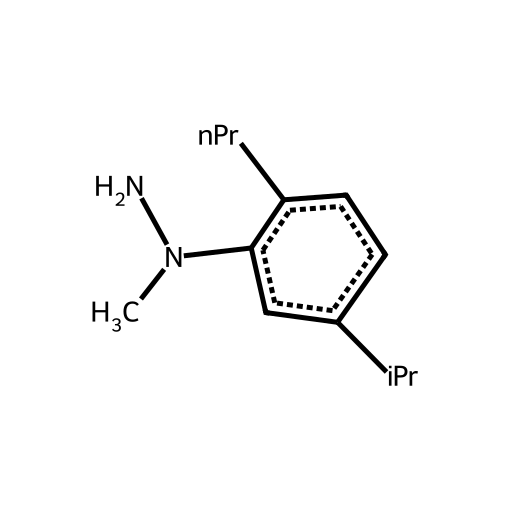 CCCc1ccc(C(C)C)cc1N(C)N